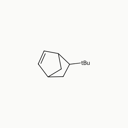 CC(C)(C)C1CC2C=CC1C2